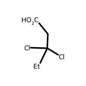 CCC(Cl)(Cl)CC(=O)O